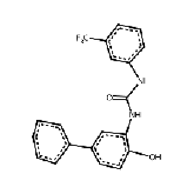 O=C(Nc1cccc(C(F)(F)F)c1)Nc1cc(-c2ccccc2)ccc1O